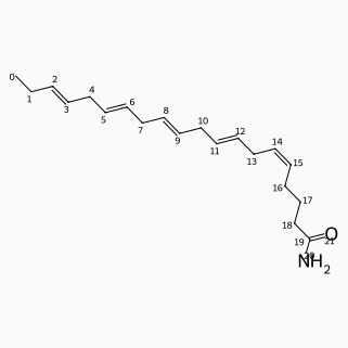 CCC=CCC=CCC=CCC=CC/C=C\CCCC(N)=O